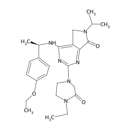 CCOc1ccc([C@@H](C)Nc2nc(N3CCN(CC)C(=O)C3)nc3c2CN(C(C)C)C3=O)cc1